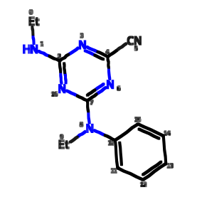 CCNc1nc(C#N)nc(N(CC)c2ccccc2)n1